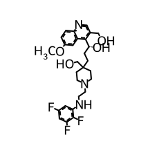 COc1ccc2ncc(CO)c([C@H](O)CCC3(CO)CCN(CCNc4cc(F)cc(F)c4F)CC3)c2c1